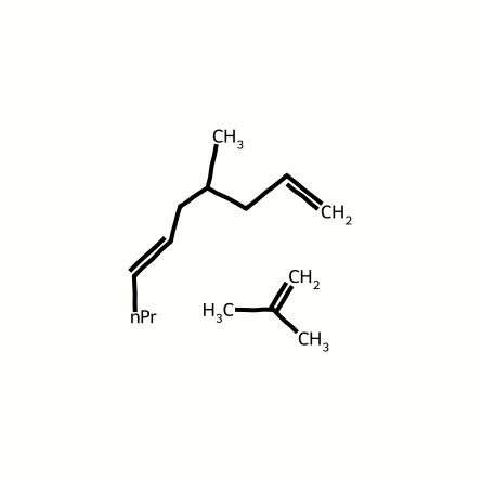 C=C(C)C.C=CCC(C)CC=CCCC